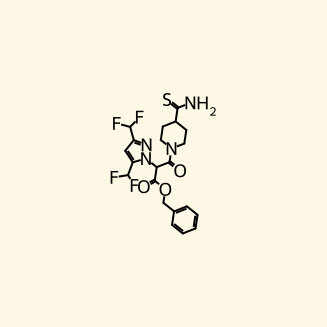 NC(=S)C1CCN(C(=O)C(C(=O)OCc2ccccc2)n2nc(C(F)F)cc2C(F)F)CC1